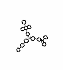 c1ccc(-c2ccc(-c3ccc(N(c4ccc(-c5ccc(N(c6ccccc6)c6ccccc6)cc5)cc4)c4ccc(-c5c6ccccc6c(-c6ccccc6)c6ccccc56)cc4)cc3)cc2)cc1